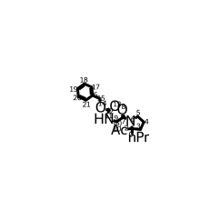 CCCC1(C(C)=O)CCCN1C(=O)[C@H](C)NC(=O)OCc1ccccc1